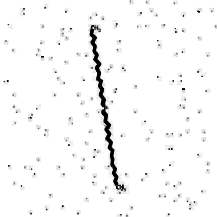 CCCCCCCCCCCCCCCCC=C[P]C=CCCCCCCCCCCCCCCCC